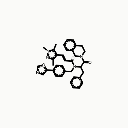 Cc1nn(C)c(C)c1C=CC(=O)N(Cc1ccc(-c2cnco2)cc1)C(Cc1ccccc1)C(=O)N1CCc2ccccc2C1